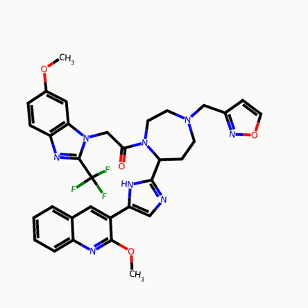 COc1ccc2nc(C(F)(F)F)n(CC(=O)N3CCN(Cc4ccon4)CCC3c3ncc(-c4cc5ccccc5nc4OC)[nH]3)c2c1